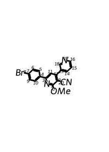 COc1nc(-c2ccc(Br)cc2)cc(-c2cccnc2)c1C#N